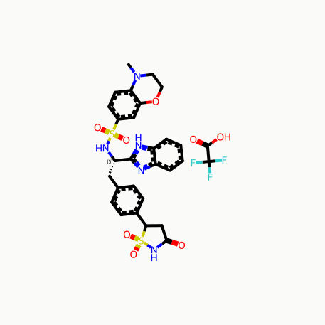 CN1CCOc2cc(S(=O)(=O)N[C@@H](Cc3ccc(C4CC(=O)NS4(=O)=O)cc3)c3nc4ccccc4[nH]3)ccc21.O=C(O)C(F)(F)F